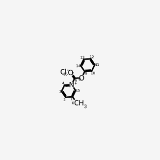 Cc1ccc[n+](C(=O)Oc2ccccc2)c1.[Cl-]